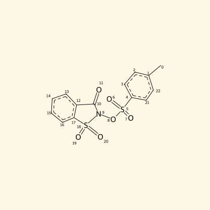 Cc1ccc(S(=O)(=O)ON2C(=O)c3ccccc3S2(=O)=O)cc1